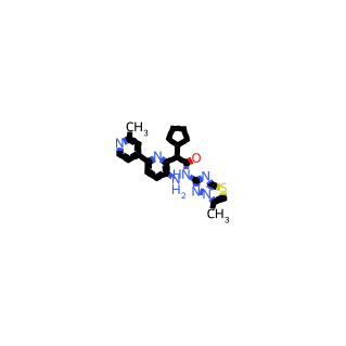 Cc1cc(-c2ccc(N)c(C(C(=O)Nc3nc4scc(C)n4n3)C3CCCC3)n2)ccn1